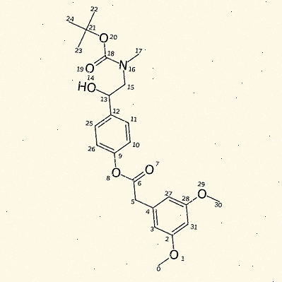 COc1cc(CC(=O)Oc2ccc(C(O)CN(C)C(=O)OC(C)(C)C)cc2)cc(OC)c1